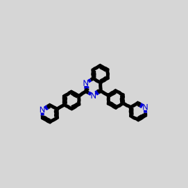 c1cncc(-c2ccc(-c3nc(-c4ccc(-c5cccnc5)cc4)c4ccccc4n3)cc2)c1